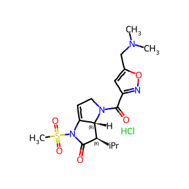 CC(C)[C@H]1C(=O)N(S(C)(=O)=O)C2=CCN(C(=O)c3cc(CN(C)C)on3)[C@@H]21.Cl